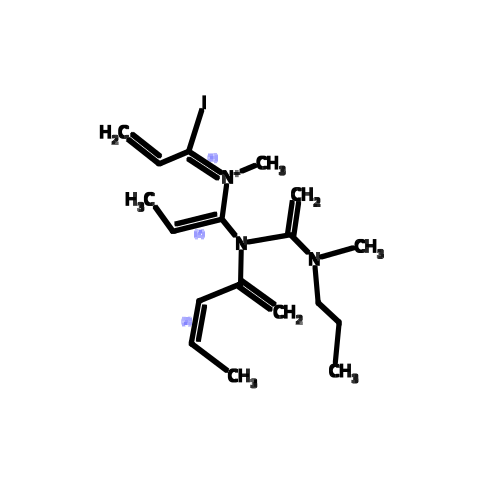 C=C/C(I)=[N+](C)\C(=C/C)N(C(=C)/C=C\C)C(=C)N(C)CCC